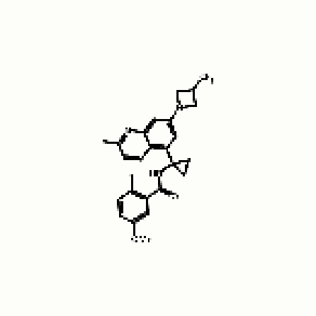 COc1ccc(C)c(C(=O)NC2(c3cc(N4CC(C(F)(F)F)C4)cc4nc(C)ccc34)CC2)c1